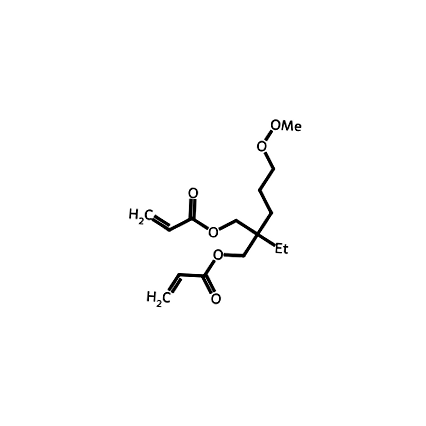 C=CC(=O)OCC(CC)(CCCOOC)COC(=O)C=C